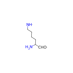 [NH]CCCCC(N)[C]=O